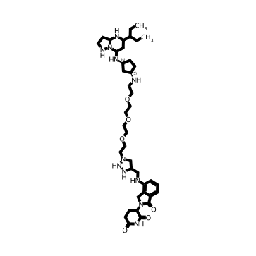 CCC(CC)C1CC(N[C@H]2CC[C@H](NCCOCCOCCOCCN3CC(CNc4cccc5c4CN(C4CCC(=O)NC4=O)C5=O)NN3)C2)N2NCCC2N1